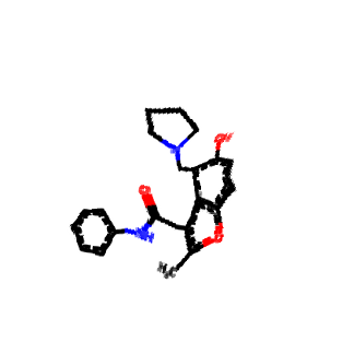 Cc1oc2ccc(O)c(CN3CCCC3)c2c1C(=O)Nc1ccccc1